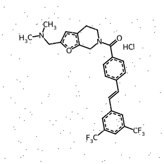 CN(C)Cc1cc2c(o1)CN(C(=O)c1ccc(C=Cc3cc(C(F)(F)F)cc(C(F)(F)F)c3)cc1)CC2.Cl